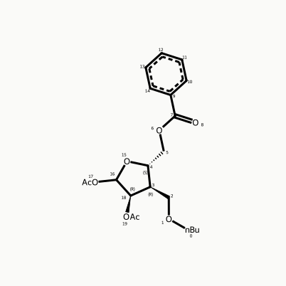 CCCCOC[C@@H]1[C@@H](COC(=O)c2ccccc2)OC(OC(C)=O)[C@@H]1OC(C)=O